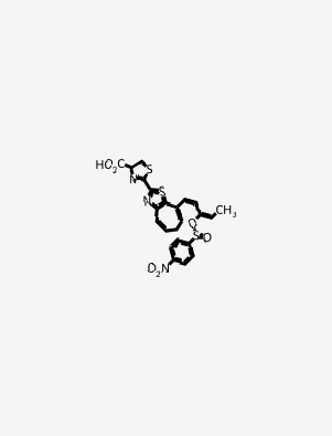 C/C=C(\C=C/C1=CCC=Cc2nc(C3=NC(C(=O)O)CS3)sc21)OS(=O)c1ccc([N+](=O)[O-])cc1